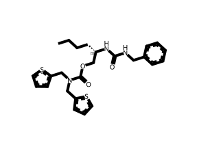 CCCC[C@@H](COC(=O)N(Cc1cccs1)Cc1cccs1)NC(=O)NCc1ccccc1